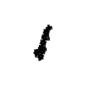 CCCc1ccc(C)cc1N1/C(=N/C(=O)NC(C)C(F)c2ccc(C(=N)/N=C\Nc3ccc(OC(F)(F)F)cc3)cc2)SCCC1C